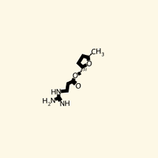 C[C@H]1CC[C@@H](COC(=O)CCNC(=N)N)O1